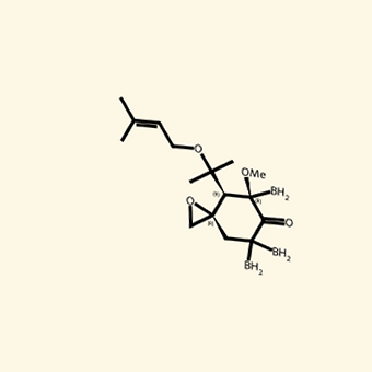 BC1(B)C[C@]2(CO2)[C@@H](C(C)(C)OCC=C(C)C)[C@@](B)(OC)C1=O